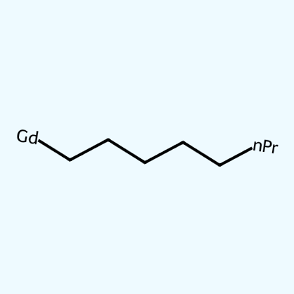 CCCCCCC[CH2][Gd]